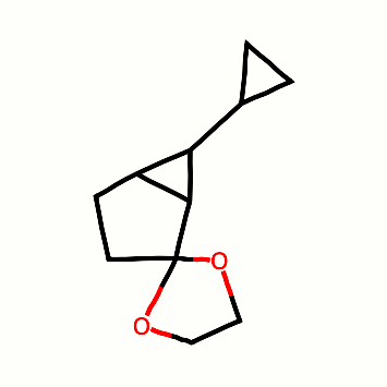 C1COC2(CCC3C(C4CC4)C32)O1